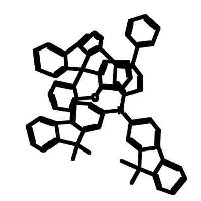 CC1(C)c2ccccc2-c2ccc(N(c3ccc(-c4ccccc4)c(-c4cccc5c4C4(c6ccccc6Oc6ccccc64)c4ccccc4-5)c3)c3ccc4c(c3)C(C)(C)c3ccccc3-4)cc21